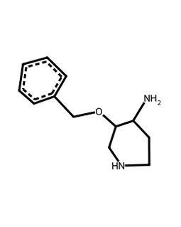 NC1CCNCC1OCc1ccccc1